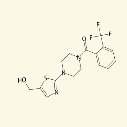 O=C(c1ccccc1C(F)(F)F)N1CCN(c2ncc(CO)s2)CC1